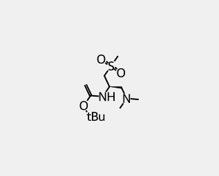 C=C(N[C@H](CN(C)C)CS(C)(=O)=O)OC(C)(C)C